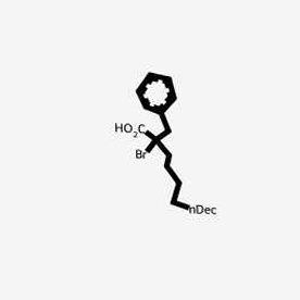 CCCCCCCCCCCCCCC(Br)(Cc1ccccc1)C(=O)O